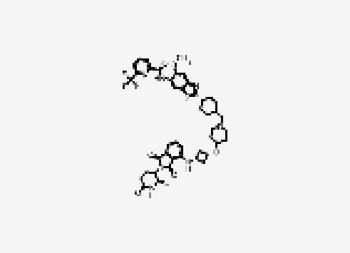 COc1cc2nc([C@H]3CC[C@H](CN4CCC(O[C@H]5C[C@H](Nc6cccc7c6C(=O)N(C6CCC(=O)NC6=O)C7=O)C5)CC4)CC3)sc2cc1NC(=O)c1cccc(C(F)(F)F)n1